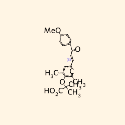 COc1ccc(C(=O)/C=C/c2cc(C)c(OC(C)(C)C(=O)O)c(C)c2)cc1